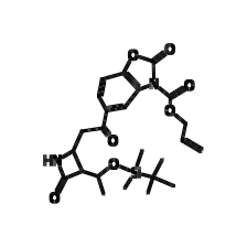 C=CCOC(=O)n1c(=O)oc2ccc(C(=O)CC3NC(=O)C3C(C)O[Si](C)(C)C(C)(C)C)cc21